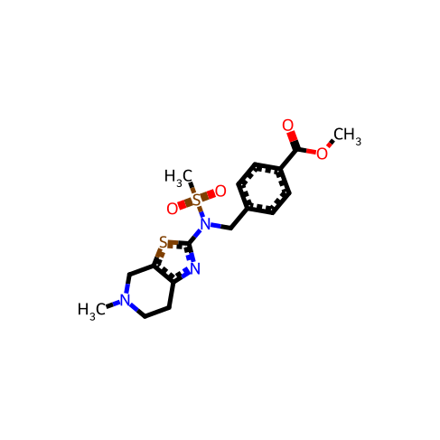 COC(=O)c1ccc(CN(c2nc3c(s2)CN(C)CC3)S(C)(=O)=O)cc1